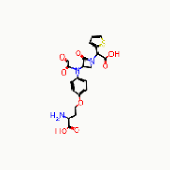 NC(CCOc1ccc(N(C(=O)C=O)C2CN(C(C(=O)O)c3cccs3)C2=O)cc1)C(=O)O